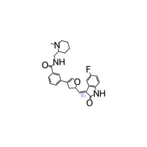 CN1CCCCC1CNC(=O)c1cccc(C2=COC(/C=C3/C(=O)Nc4ccc(F)cc43)C2)c1